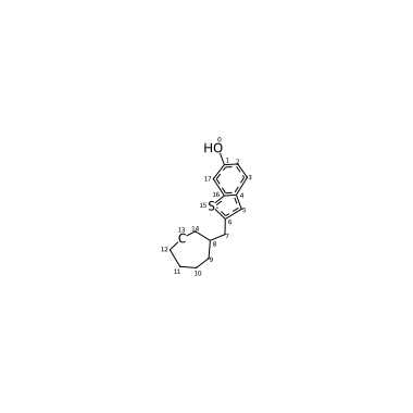 Oc1ccc2cc(CC3CCCCCC3)sc2c1